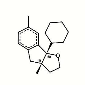 Cc1ccc2c(c1)[C@]1(C3CCCCC3)OCC[C@]1(C)C2